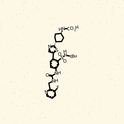 CC(C)(C)NS(=O)(=O)c1cc(NC(=O)NCc2ncccc2F)ccc1-c1cnc([C@H]2CC[C@H](NC(=O)O)CC2)s1